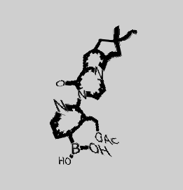 CC(=O)OCc1c(B(O)O)ccnc1-n1ccn2c3c(cc2c1=O)CC(C)(C)C3